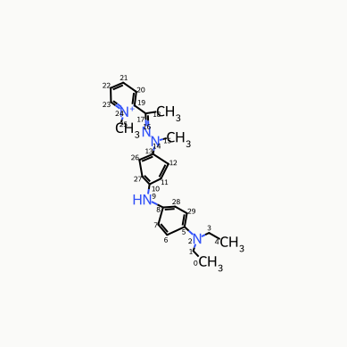 CCN(CC)c1ccc(Nc2ccc(N(C)/N=C(\C)c3cccc[n+]3C)cc2)cc1